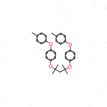 Cc1ccc(Oc2ccc(OC(C)(C)CC(C)(C)Oc3ccc(Oc4ccc(C)cc4)cc3)cc2)cc1